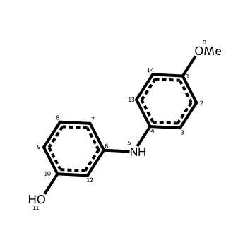 COc1ccc(Nc2cccc(O)c2)cc1